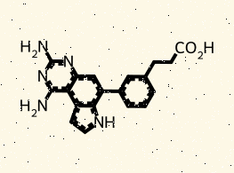 Nc1nc(N)c2c(cc(-c3cccc(CCC(=O)O)c3)c3[nH]ccc32)n1